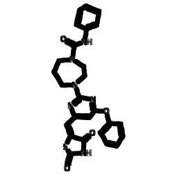 O=C1NC(=O)/C(=C\c2cc(Oc3ccccc3)nc(N3CCCN(C(=O)Nc4ccccc4)CC3)n2)S1